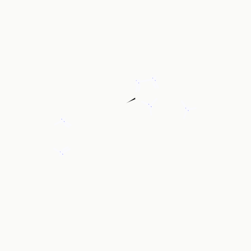 Cc1nccnc1[C@H]1CC[C@H](c2nnc3n2-c2ccc(Cl)cc2CN(C)C3)CC1